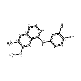 COc1cc2c(Nc3ccc(F)c(Cl)c3)ncnc2cc1C